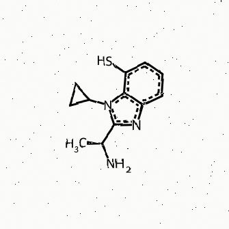 C[C@H](N)c1nc2cccc(S)c2n1C1CC1